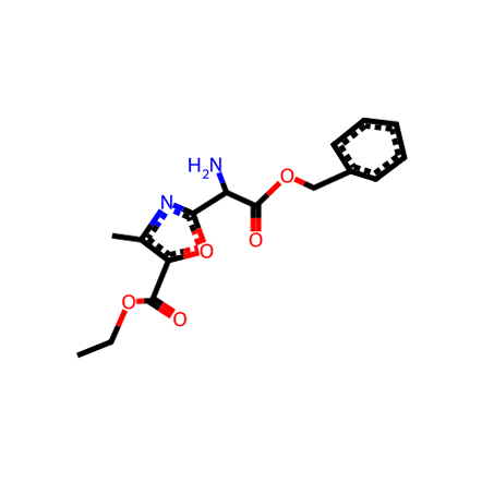 CCOC(=O)c1oc(C(N)C(=O)OCc2ccccc2)nc1C